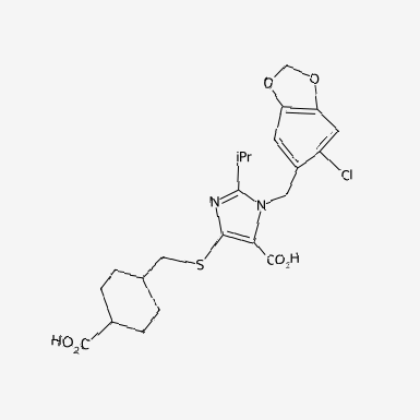 CC(C)c1nc(SCC2CCC(C(=O)O)CC2)c(C(=O)O)n1Cc1cc2c(cc1Cl)OCO2